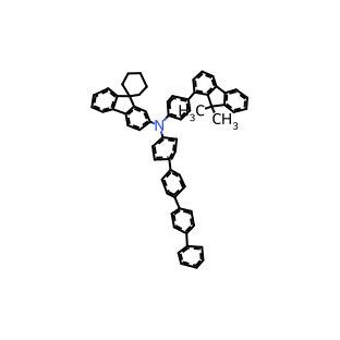 CC1(C)c2ccccc2-c2cccc(-c3ccc(N(c4ccc(-c5ccc(-c6ccc(-c7ccccc7)cc6)cc5)cc4)c4ccc5c(c4)C4(CCCCC4)c4ccccc4-5)cc3)c21